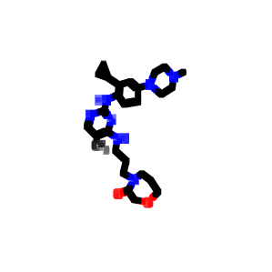 CN1CCN(c2ccc(Nc3ncc(C(F)(F)F)c(NCCCN4CCCOCC4=O)n3)c(C3CC3)c2)CC1